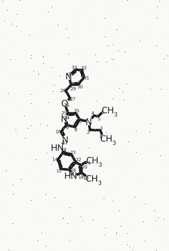 CCCN(CCC)c1cc(/C=N/Nc2ccc3[nH]c(C)c(C)c3c2)nc(OCCc2ccccn2)c1